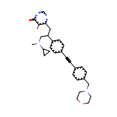 CN(CC(Cc1nc[nH]c(=O)c1O)c1ccc(C#Cc2ccc(CN3CCOCC3)cc2)cc1)C1CC1